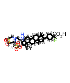 CC(C)C1=C2[C@H]3CC[C@@H]4[C@@]5(C)CC=C(C6=CCC(CF)(C(=O)O)CC6)C(C)(C)[C@@H]5CC[C@@]4(C)[C@]3(C)CC[C@@]2(NCCN2CCS(=O)(=O)CC2)C=C1OS(=O)(=O)C(F)(F)F